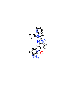 Cn1c(-c2cc3cccnc3n2CC(F)(F)F)nc2cc(C(=O)N3CCCC(N)C3)ccc21